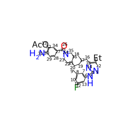 CCc1cnc(Nc2cc(C)cc(F)c2)nc1CC(C)CCC1CCN(C(=O)c2ccc(N)c(OC(C)=O)c2)CC1